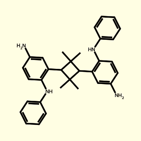 CC1(C)C(c2cc(N)ccc2Nc2ccccc2)C(C)(C)C1c1cc(N)ccc1Nc1ccccc1